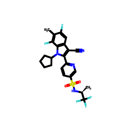 Cc1c(F)cc2c(C#N)c(-c3ccc(S(=O)(=O)N[C@H](C)C(F)(F)F)cn3)n(C3CCCC3)c2c1F